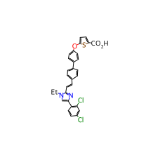 CCn1cc(-c2ccc(Cl)cc2Cl)nc1C=Cc1ccc(-c2ccc(Oc3ccc(C(=O)O)s3)cc2)cc1